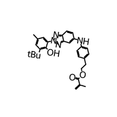 C=C(C)C(=O)OCCc1ccc(Nc2ccc3nn(-c4cc(C)cc(C(C)(C)C)c4O)nc3c2)cc1